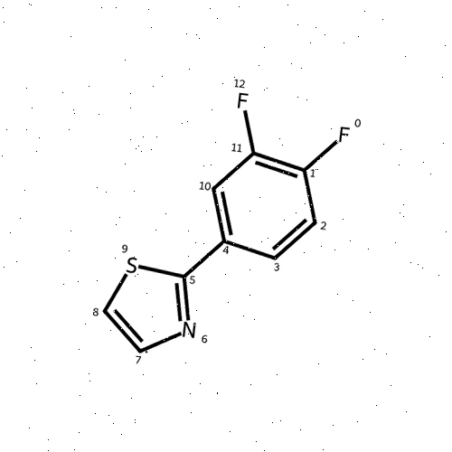 Fc1ccc(-c2n[c]cs2)cc1F